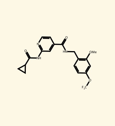 COc1cc(OC(F)(F)F)ccc1CNC(=O)c1ccnc(NC(=O)C2CC2)c1